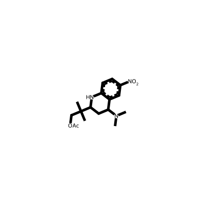 CC(=O)OCC(C)(C)C1CC(N(C)C)c2cc([N+](=O)[O-])ccc2N1